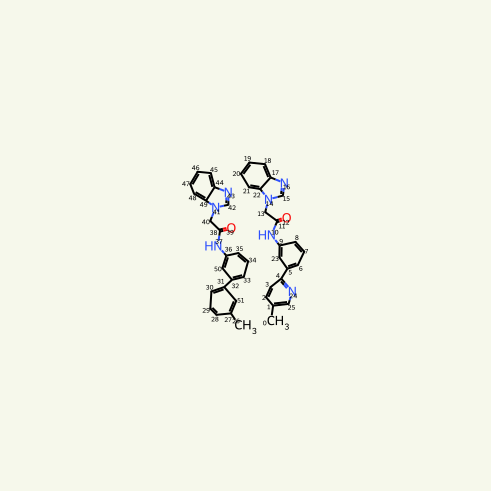 Cc1ccc(-c2cccc(NC(=O)Cn3cnc4ccccc43)c2)nc1.Cc1cccc(-c2cccc(NC(=O)Cn3cnc4ccccc43)c2)c1